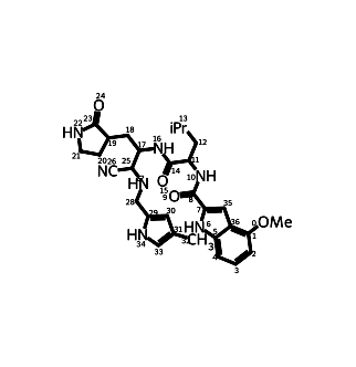 COc1cccc2[nH]c(C(=O)NC(CC(C)C)C(=O)NC(CC3CCNC3=O)C(C#N)NCc3cc(C)c[nH]3)cc12